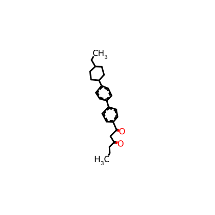 CCCC(=O)CC(=O)c1ccc(-c2ccc(C3CCC(CC)CC3)cc2)cc1